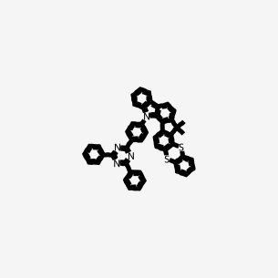 CC1(C)c2ccc3c4ccccc4n(-c4ccc(-c5nc(-c6ccccc6)nc(-c6ccccc6)n5)cc4)c3c2-c2ccc3c(c21)Sc1ccccc1S3